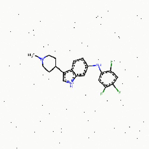 CN1CCC(c2c[nH]c3cc(Nc4cc(F)c(F)cc4F)ccc23)CC1